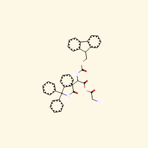 NCC(=O)OC(=O)C(CC(=O)NC(c1ccccc1)(c1ccccc1)c1ccccc1)NC(=O)OCC1c2ccccc2-c2ccccc21